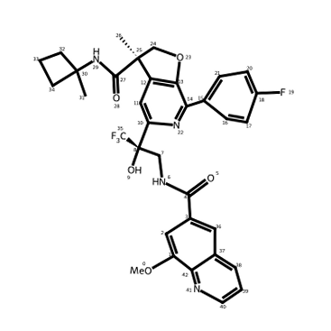 COc1cc(C(=O)NC[C@](O)(c2cc3c(c(-c4ccc(F)cc4)n2)OC[C@]3(C)C(=O)NC2(C)CCC2)C(F)(F)F)cc2cccnc12